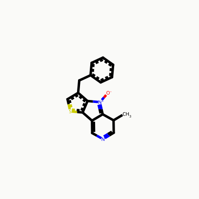 CC1C=NC=C2C1=[N+]([O-])c1c(Cc3ccccc3)csc12